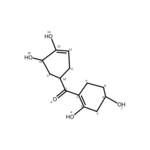 O=C(C1=C(O)CC(O)CC1)C1CC=C(O)C(O)C1